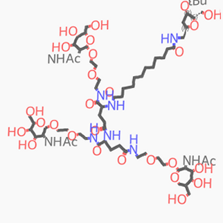 CC(=O)NC1C(OCCOCCNC(=O)CCC(NC(=O)CCC(NC(=O)CCCCCCCCCCC(=O)NC[C@H]2C[C@@H](OC(C)(C)C)[C@H](CO)O2)C(=O)NCCOCCOC2OC(CO)C(O)C(O)C2NC(C)=O)C(=O)NCCOCCOC2OC(CO)C(O)C(O)C2NC(C)=O)OCC(CO)C(O)C1O